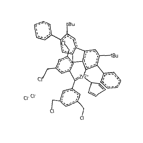 CC(C)(C)c1cc2c(cc1-c1ccccc1)Cc1c-2cc(C(C)(C)C)c(-c2ccccc2)[c]1[Zr+2](=[C](c1cc(CCl)cc(CCl)c1)c1cc(CCl)cc(CCl)c1)[CH]1C=CC=C1.[Cl-].[Cl-]